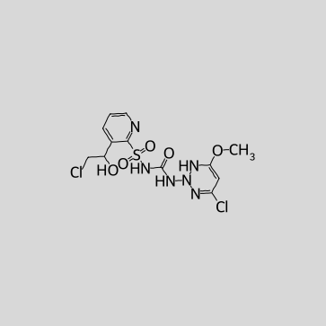 COC1=CC(Cl)=NN(NC(=O)NS(=O)(=O)c2ncccc2C(O)CCl)N1